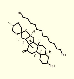 C[C@@H]1CC[C@@]2(OC1)O[C@H]1C[C@H]3[C@@H]4CC[C@H]5C[C@@H](O)CC[C@]5(C)[C@H]4CC(=O)[C@]3(C)[C@H]1[C@@H]2C.OCCCCCCCCCCCCO